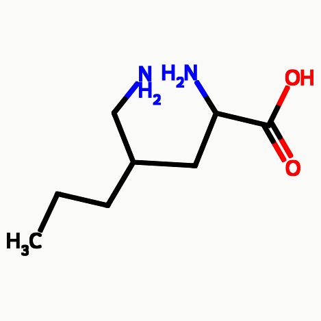 CCCC(CN)CC(N)C(=O)O